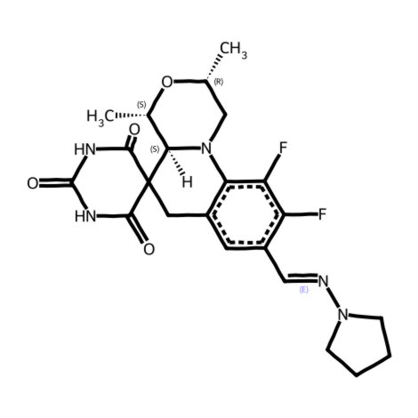 C[C@@H]1CN2c3c(cc(/C=N/N4CCCC4)c(F)c3F)CC3(C(=O)NC(=O)NC3=O)[C@H]2[C@H](C)O1